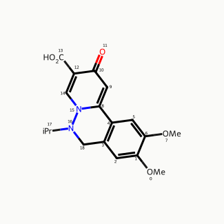 COc1cc2c(cc1OC)-c1cc(=O)c(C(=O)O)cn1N(C(C)C)C2